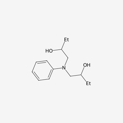 CCC(O)CN(CC(O)CC)c1ccccc1